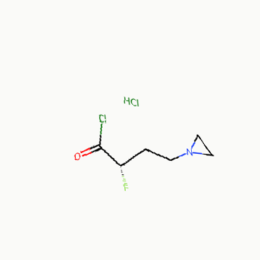 Cl.O=C(Cl)[C@@H](F)CCN1CC1